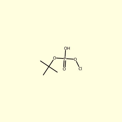 CC(C)(C)OP(=O)(O)OCl